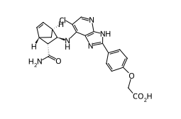 NC(=O)[C@H]1[C@H](Nc2c(Cl)cnc3[nH]c(-c4ccc(OCC(=O)O)cc4)nc23)[C@@H]2C=C[C@@H]1C2